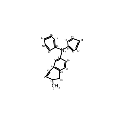 CC1C=Cc2cc(N(c3ccccc3)c3ccccc3)ccc2C1